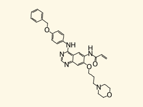 C=CC(=O)Nc1cc2c(Nc3ccc(OCc4ccccc4)cc3)ncnc2cc1OCCCN1CCOCC1